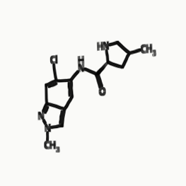 CC1CN[C@H](C(=O)Nc2cc3cn(C)nc3cc2Cl)C1